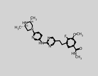 CNC(=O)c1cc(CCc2cnc(Nc3ccc(N4C[C@@H](C)N[C@@H](C)C4)nc3)nc2)c(F)c(OC)c1